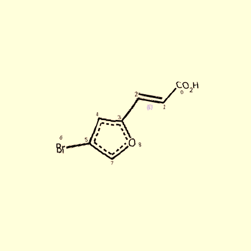 O=C(O)/C=C/c1cc(Br)co1